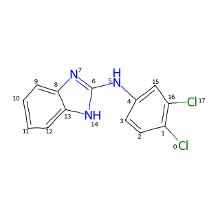 Clc1ccc(Nc2nc3ccccc3[nH]2)cc1Cl